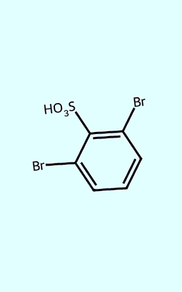 O=S(=O)(O)c1c(Br)cccc1Br